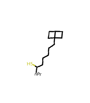 CCCC(S)CCCCCC12CCC1CC2